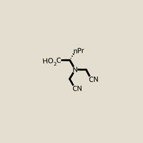 CCC[C@@H](C(=O)O)N(CC#N)CC#N